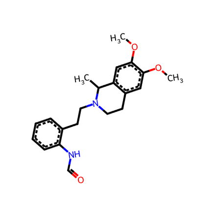 COc1cc2c(cc1OC)C(C)N(CCc1ccccc1NC=O)CC2